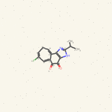 CC(C)c1nc2c([nH]1)C(=O)C(=O)C1=CC(F)=CCC=C12